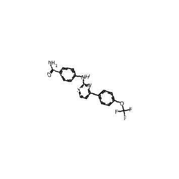 NC(=O)c1ccc(Nc2nccc(-c3ccc(OC(F)(F)F)cc3)n2)cc1